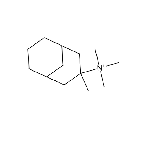 CC1([N+](C)(C)C)CC2CCCC(C2)C1